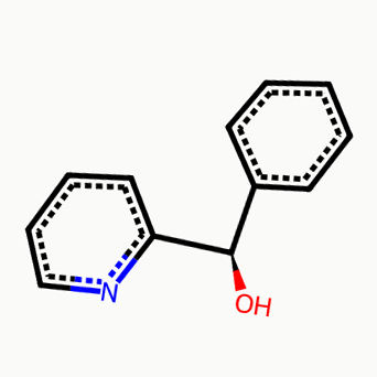 O[C@H](c1ccccc1)c1ccccn1